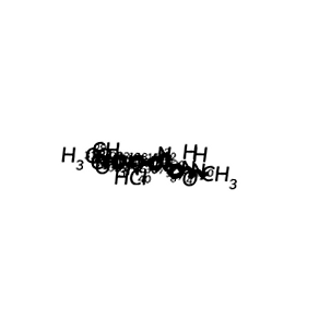 CCNC(=O)Nc1cccc(-c2cnc3cc(-c4ccc(N5CCN(C(=O)OC(C)(C)C)CC5)nc4)ccn23)c1.Cl